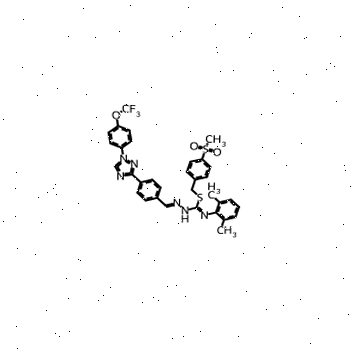 Cc1cccc(C)c1/N=C(/N/N=C/c1ccc(-c2ncn(-c3ccc(OC(F)(F)F)cc3)n2)cc1)SCc1ccc(S(C)(=O)=O)cc1